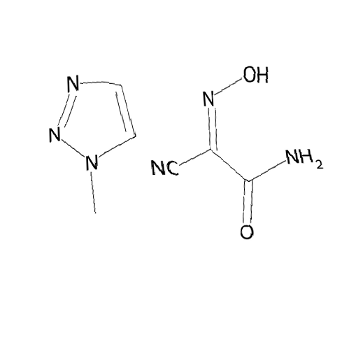 Cn1ccnn1.N#CC(=NO)C(N)=O